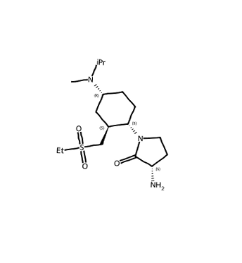 CCS(=O)(=O)C[C@H]1C[C@H](N(C)C(C)C)CC[C@@H]1N1CC[C@H](N)C1=O